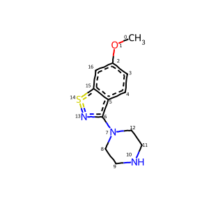 COc1ccc2c(N3CCNCC3)nsc2c1